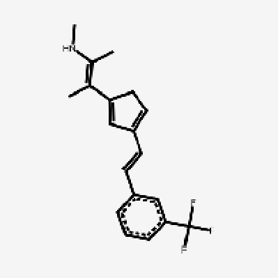 CN/C(C)=C(\C)C1=CC(/C=C/c2cccc(C(F)(F)F)c2)=CC1